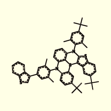 Cc1cc(-c2csc3ccccc23)cc(C)c1N1c2ccc(C(C)(C)C)cc2B2c3c1cccc3N(c1c(C)cc(C(C)(C)C)cc1C)c1sc3ccc(C(C)(C)C)cc3c12